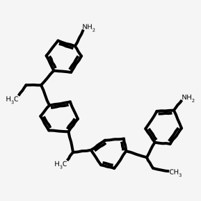 CCC(c1ccc(N)cc1)c1ccc(C(C)c2ccc(C(CC)c3ccc(N)cc3)cc2)cc1